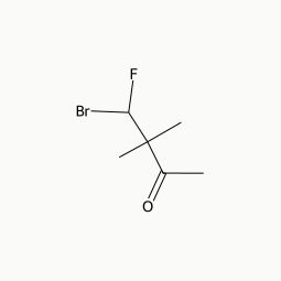 CC(=O)C(C)(C)C(F)Br